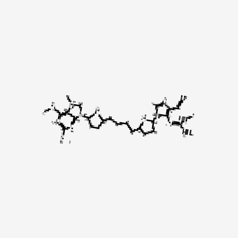 CN/C(N)=N\c1c(C=O)ncn1C1CCC(CCCCC2CCC(N3CN(C)c4c(OC)nc(N)nc43)O2)O1